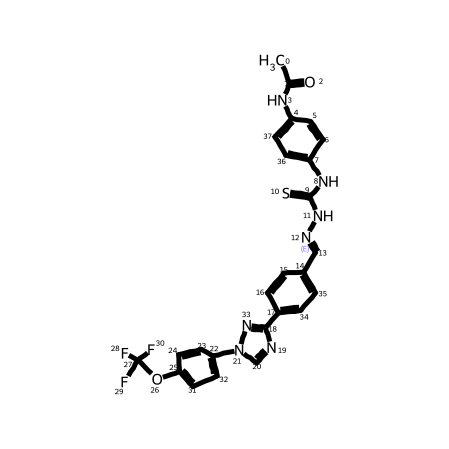 CC(=O)Nc1ccc(NC(=S)N/N=C/c2ccc(-c3ncn(-c4ccc(OC(F)(F)F)cc4)n3)cc2)cc1